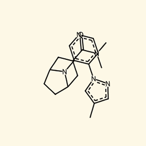 Cc1cnn(-c2ccncc2N2C3CCC2CC(C(=O)N(C)C)C3)c1